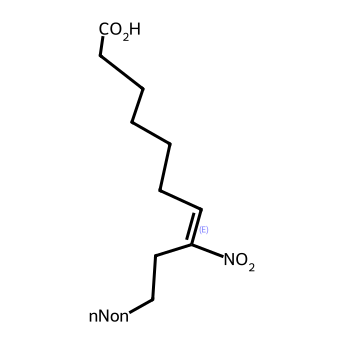 CCCCCCCCCCC/C(=C\CCCCCC(=O)O)[N+](=O)[O-]